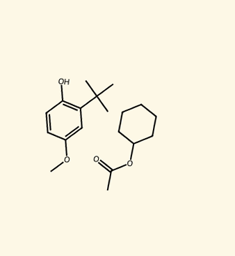 CC(=O)OC1CCCCC1.COc1ccc(O)c(C(C)(C)C)c1